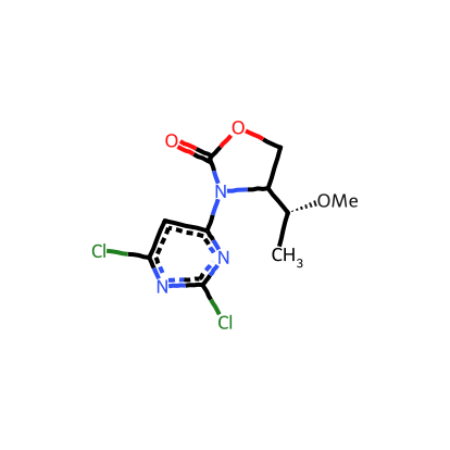 CO[C@H](C)C1COC(=O)N1c1cc(Cl)nc(Cl)n1